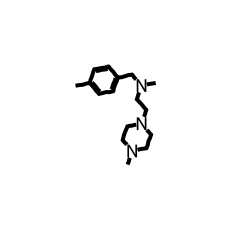 Cc1ccc(CN(C)CCN2CCN(C)CC2)cc1